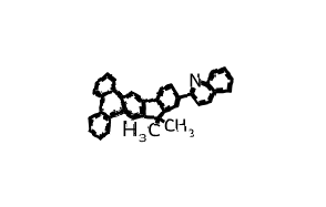 CC1(C)c2cc(-c3ccc4ccccc4n3)ccc2-c2cc3c4ccccc4c4ccccc4c3cc21